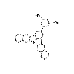 CC(C)(C)c1cc(-c2cc3c4cc5ccccc5cc4n4c5cc6ccccc6cc5c(c2)c34)cc(C(C)(C)C)c1